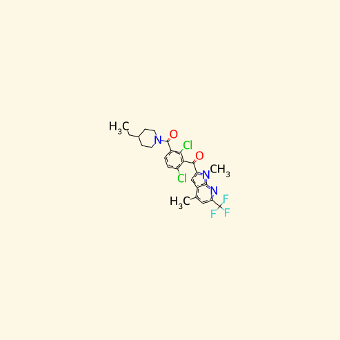 CCC1CCN(C(=O)c2ccc(Cl)c(C(=O)c3cc4c(C)cc(C(F)(F)F)nc4n3C)c2Cl)CC1